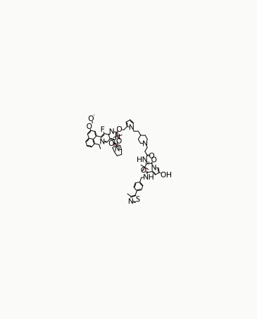 CCc1cccc2cc(OCOC)cc(-c3ncc4c(N5CC6CCC(C5)N6C(=O)OC(C)(C)C)nc(OCc5cccn5CCC5CCN(CCC(=O)N[C@H](C(=O)n6cc(O)cc6C(=O)NCc6ccc(-c7scnc7C)cc6)C(C)(C)C)CC5)nc4c3F)c12